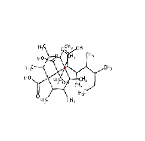 CCC(C)C(C)C(C)C(C(=O)O)C(O)(C(=O)O)C(C(=O)O)(C(C)C(C)C(C)CC)C(C)C(C)C(C)CC